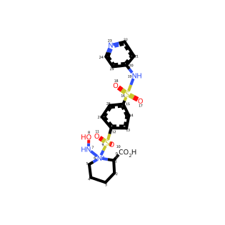 O=C(O)C1CCCC[N+]1(NO)S(=O)(=O)c1ccc(S(=O)(=O)Nc2ccncc2)cc1